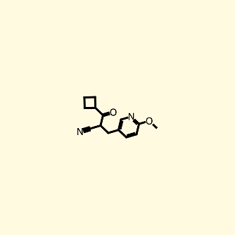 COc1ccc(CC(C#N)C(=O)C2CCC2)cn1